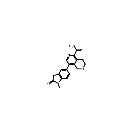 CN1C(=O)Cc2cc(-c3cnc(C(N)=O)c4c3COC[CH]4)ccc21